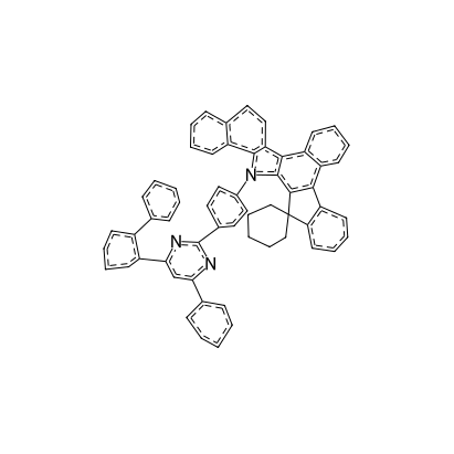 c1ccc(-c2cc(-c3ccccc3-c3ccccc3)nc(-c3ccc(-n4c5c6c(c7ccccc7c5c5ccc7ccccc7c54)-c4ccccc4C64CCCCC4)cc3)n2)cc1